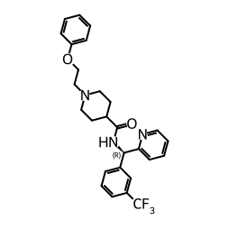 O=C(N[C@H](c1cccc(C(F)(F)F)c1)c1ccccn1)C1CCN(CCOc2ccccc2)CC1